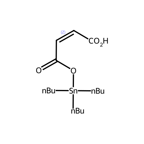 CCC[CH2][Sn]([CH2]CCC)([CH2]CCC)[O]C(=O)/C=C\C(=O)O